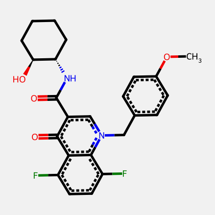 COc1ccc(Cn2cc(C(=O)N[C@H]3CCCC[C@@H]3O)c(=O)c3c(F)ccc(F)c32)cc1